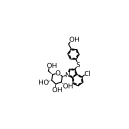 OCc1ccc(Sc2cn([C@@H]3O[C@H](CO)[C@@H](O)[C@H](O)[C@H]3O)c3cccc(Cl)c23)cc1